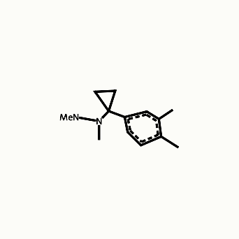 CNN(C)C1(c2ccc(C)c(C)c2)CC1